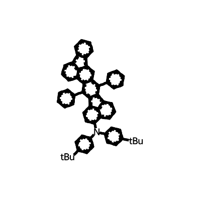 CC(C)(C)c1ccc(N(c2ccc(C(C)(C)C)cc2)c2ccc3c4c(-c5ccccc5)c5c(cc6c7ccccc7c7cccc5c76)c(-c5ccccc5)c4c4cccc2c43)cc1